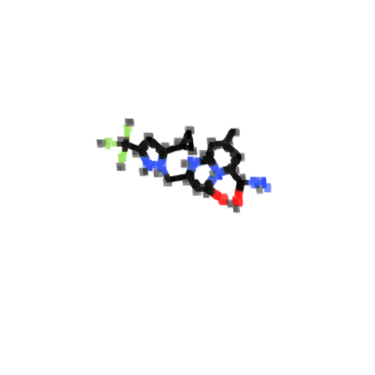 Cc1cc(C(N)=O)n2c(=O)cc(Cn3nc(C(F)(F)F)cc3C3CC3)nc2c1